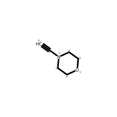 C#CN1CCOCC1